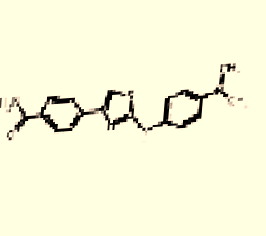 CN(C)c1ccc(Nc2nc(-c3ccc(C(N)=O)cc3)cs2)cc1